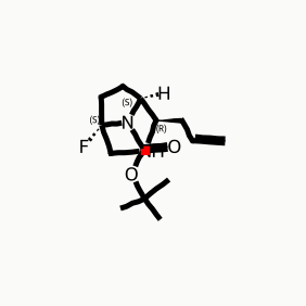 C=CC[C@H]1NC[C@@]2(F)CC[C@@H]1N2C(=O)OC(C)(C)C